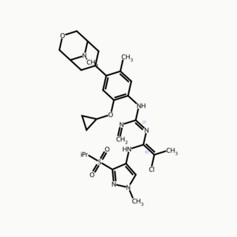 C=N/C(=N\C(Nc1cn(C)nc1S(=O)(=O)C(C)C)=C(/C)Cl)Nc1cc(C)c(C2CC3COCC(C2)N3C)cc1OC1CC1